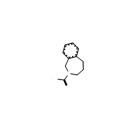 O=C(N1CCCc2ccccc2C1)C(F)(F)F